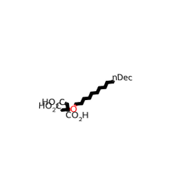 CCCCCCCCCCCCCCCCCCCCOC(CC(=O)O)(CC(=O)O)C(=O)O